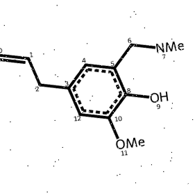 C=CCc1cc(CNC)c(O)c(OC)c1